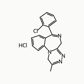 CC1=NN=C2CN=C(c3ccccc3Cl)c3ccccc3N2C1.Cl